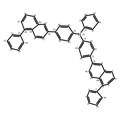 c1ccc(-c2cccc3cc(-c4ccc(N(c5ccccc5)c5ccc(-c6ccc7c(-c8ccccc8)cccc7c6)cc5)cc4)ccc23)cc1